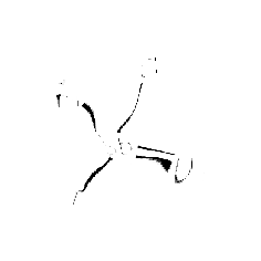 [O]=[Sb]([Cl])([Cl])[Cl]